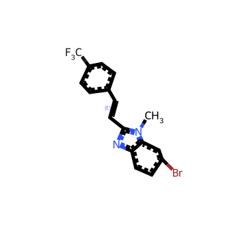 Cn1c(/C=C/c2ccc(C(F)(F)F)cc2)nc2ccc(Br)cc21